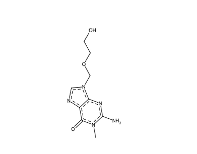 Cn1c(N)nc2c(ncn2COCCO)c1=O